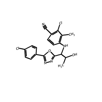 Cc1c(NC(c2nnc(-c3ccc(Cl)cc3)o2)C(C)O)ccc(C#N)c1Cl